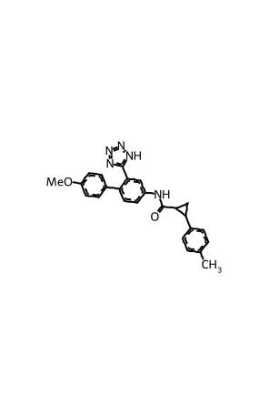 COc1ccc(-c2ccc(NC(=O)C3CC3c3ccc(C)cc3)cc2-c2nnn[nH]2)cc1